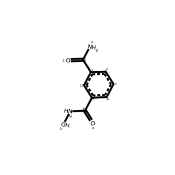 NC(=O)c1cccc(C(=O)NO)c1